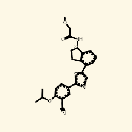 COCC(=O)N[C@@H]1CCc2c(-c3cnc(-c4ccc(OC(C)C)c(C#N)c4)s3)cccc21